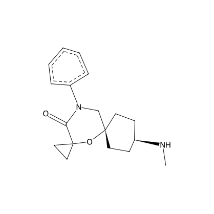 CN[C@H]1CC[C@]2(CC1)CN(c1ccccc1)C(=O)C1(CC1)O2